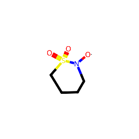 [O]N1CCCCS1(=O)=O